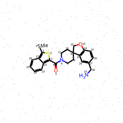 CSc1sc(C(=O)N2CCC3(CC2)COc2ccc(CN)cc23)c2ccccc12